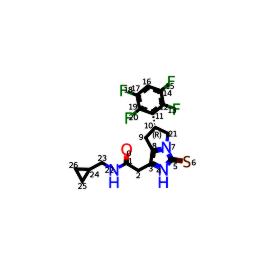 O=C(Cc1[nH]c(=S)n2c1C[C@H](c1c(F)c(F)cc(F)c1F)C2)NCC1CC1